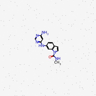 CNC(=O)n1ccc2ccc(Nc3cc(N)ncn3)cc21